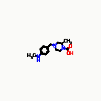 CNc1ccc(CN2CCN(C(=O)O)[C@H](C)C2)cc1